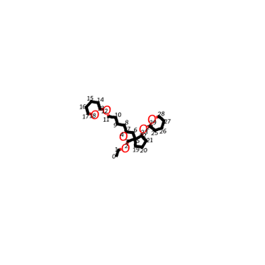 CCOC(=O)C1(CCCCCCOC2CCCCO2)CCCC1OC1CCCCO1